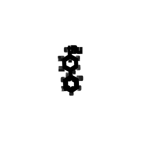 CC(C)(C)C1CCC(c2c[c]ccc2)CC1